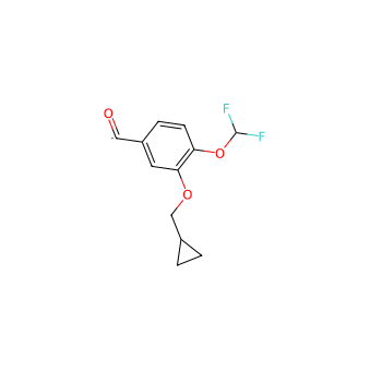 O=[C]c1ccc(OC(F)F)c(OCC2CC2)c1